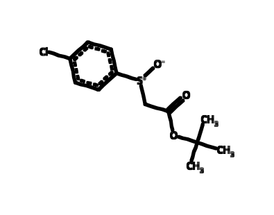 CC(C)(C)OC(=O)C[S+]([O-])c1ccc(Cl)cc1